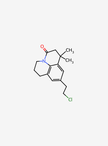 CC1(C)CC(=O)N2CCCc3cc(CCCl)cc1c32